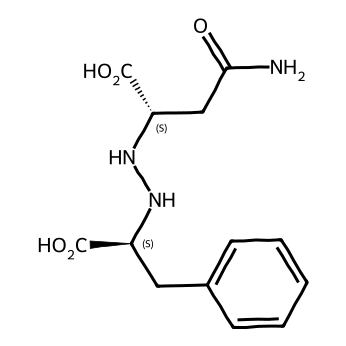 NC(=O)C[C@H](NN[C@@H](Cc1ccccc1)C(=O)O)C(=O)O